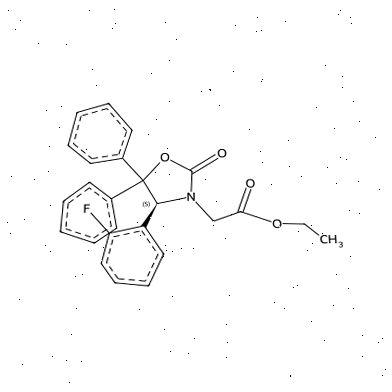 CCOC(=O)CN1C(=O)OC(c2ccccc2)(c2ccccc2)[C@@H]1c1ccccc1F